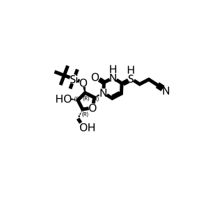 CC(C)(C)[Si](C)(C)O[C@@H]1[C@@H](O)[C@@H](CO)O[C@H]1n1ccc(=[SH]CCC#N)[nH]c1=O